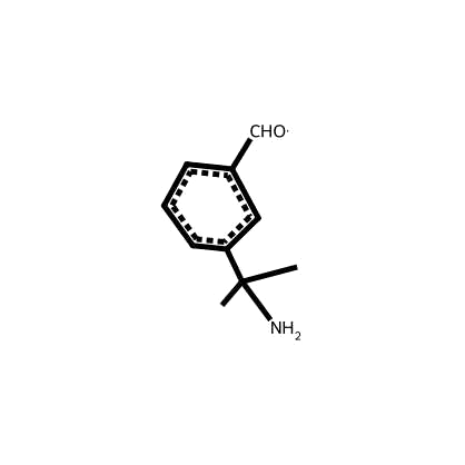 CC(C)(N)c1cccc([C]=O)c1